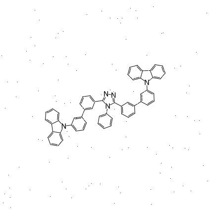 c1ccc(-n2c(-c3cccc(-c4cccc(-n5c6ccccc6c6ccccc65)c4)c3)nnc2-c2cccc(-c3cccc(-n4c5ccccc5c5ccccc54)c3)c2)cc1